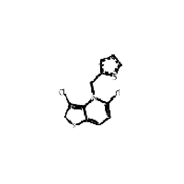 ClC1=CC=C2SCC(Cl)=C2N1Cc1cccs1